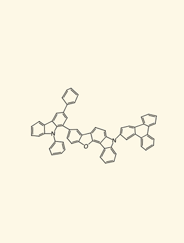 c1ccc(-c2cc(-c3ccc4oc5c(ccc6c5c5ccccc5n6-c5ccc6c7ccccc7c7ccccc7c6c5)c4c3)c3c(c2)c2ccccc2n3-c2ccccc2)cc1